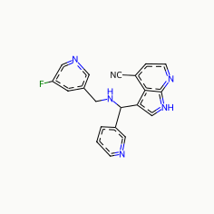 N#Cc1ccnc2[nH]cc(C(NCc3cncc(F)c3)c3cccnc3)c12